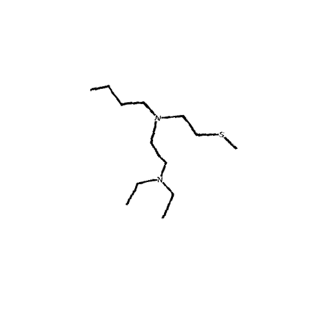 CCCCN(CCSC)CCN(CC)CC